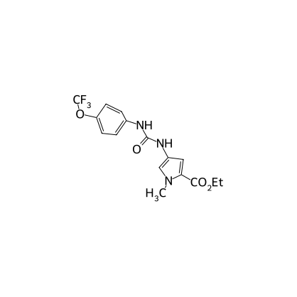 CCOC(=O)c1cc(NC(=O)Nc2ccc(OC(F)(F)F)cc2)cn1C